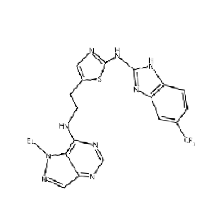 CCn1ncc2ncnc(NCCc3cnc(Nc4nc5cc(C(F)(F)F)ccc5[nH]4)s3)c21